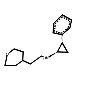 c1ccc([C@@H]2C[C@H]2NCCC2CCOCC2)cc1